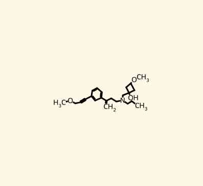 C=C(CCN(CCC)CC1(O)CC(OC)C1)c1cccc(C#CCOC)c1